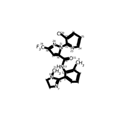 Cc1cccc(C2=NCCN2C)c1NC(=O)c1cc(C(F)(F)F)nn1-c1ncccc1Cl